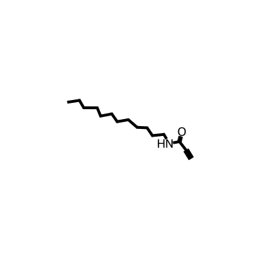 C#CC(=O)NCCCCCCCCCCCC